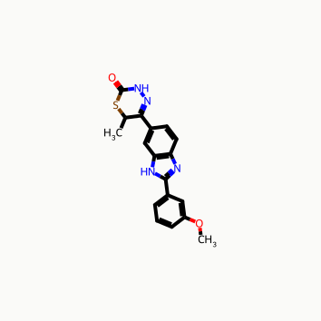 COc1cccc(-c2nc3ccc(C4=NNC(=O)SC4C)cc3[nH]2)c1